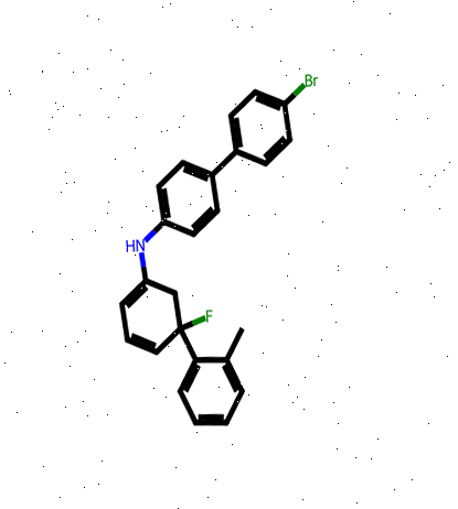 Cc1ccccc1C1(F)C=CC=C(Nc2ccc(-c3ccc(Br)cc3)cc2)C1